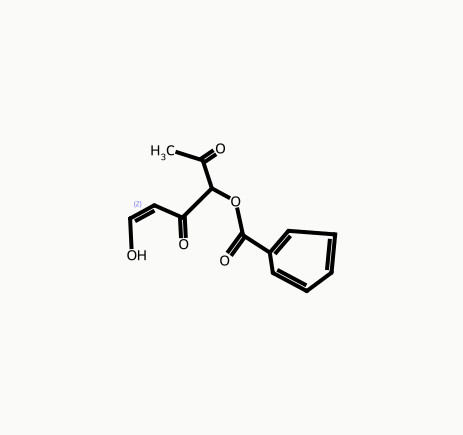 CC(=O)C(OC(=O)c1ccccc1)C(=O)/C=C\O